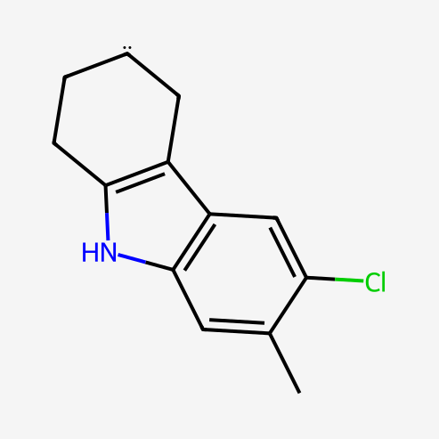 Cc1cc2[nH]c3c(c2cc1Cl)C[C]CC3